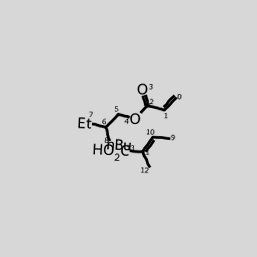 C=CC(=O)OCC(CC)CCCC.CC=C(C)C(=O)O